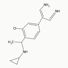 CC(NC1CC1)c1ccc(/C(C=N)=C/N)cc1Cl